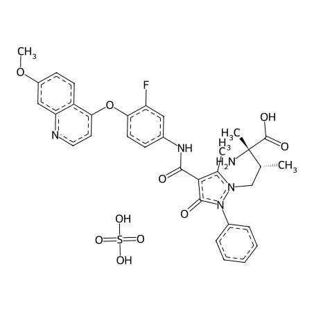 COc1ccc2c(Oc3ccc(NC(=O)c4c(C)n(C[C@@H](C)[C@](C)(N)C(=O)O)n(-c5ccccc5)c4=O)cc3F)ccnc2c1.O=S(=O)(O)O